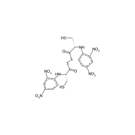 O=C(SSC(=O)[C@H](CS)Nc1ccc([N+](=O)[O-])cc1[N+](=O)[O-])[C@H](CS)Nc1ccc([N+](=O)[O-])cc1[N+](=O)[O-]